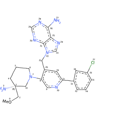 COC[C@@]1(N)CCCN(c2cnc(-c3cccc(Cl)c3)cc2Cn2cnc3c(N)ncnc32)C1